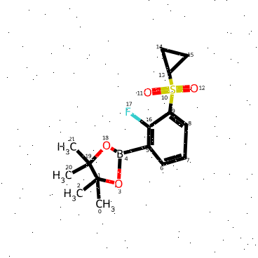 CC1(C)OB(c2cccc(S(=O)(=O)C3CC3)c2F)OC1(C)C